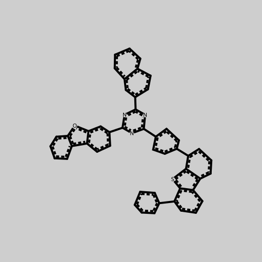 c1ccc(-c2cccc3c2sc2c(-c4ccc(-c5nc(-c6ccc7ccccc7c6)nc(-c6ccc7c(c6)oc6ccccc67)n5)cc4)cccc23)cc1